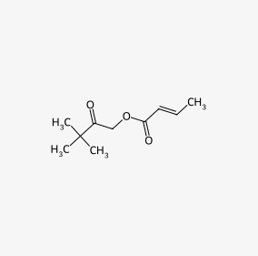 C/C=C/C(=O)OCC(=O)C(C)(C)C